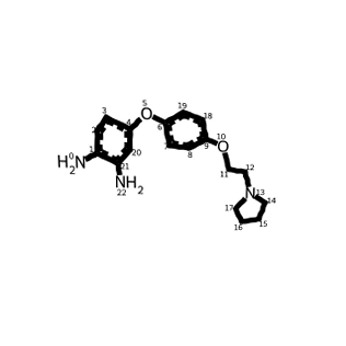 Nc1ccc(Oc2ccc(OCCN3CCCC3)cc2)cc1N